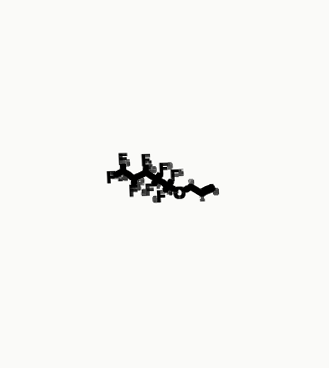 C=CCOC(F)(F)C(F)(F)C(F)C(F)C(F)F